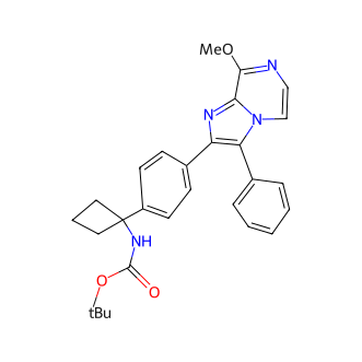 COc1nccn2c(-c3ccccc3)c(-c3ccc(C4(NC(=O)OC(C)(C)C)CCC4)cc3)nc12